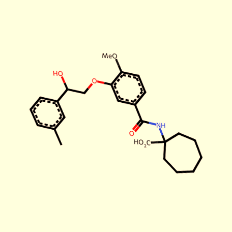 COc1ccc(C(=O)NC2(C(=O)O)CCCCCC2)cc1OCC(O)c1cccc(C)c1